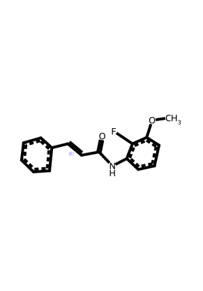 COc1cccc(NC(=O)/C=C/c2ccccc2)c1F